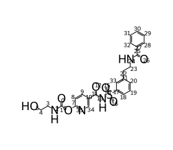 O=C(NCCO)Oc1ccc(C(=O)NS(=O)(=O)c2cccc(CCNC(=O)c3ccccc3)c2)cn1